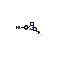 C#Cc1ccc(NC(=O)c2cc(C(F)(F)F)ccc2-c2ccccc2)cc1